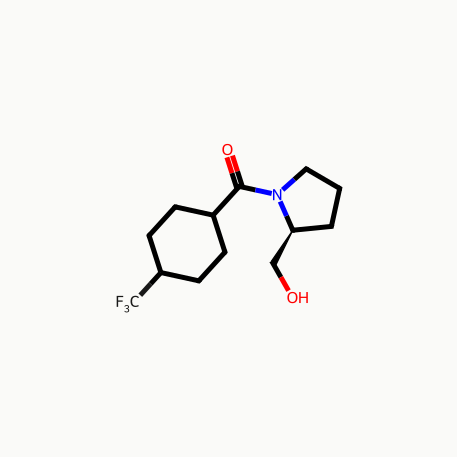 O=C(C1CCC(C(F)(F)F)CC1)N1CCC[C@H]1CO